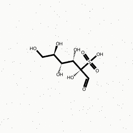 O=C[C@@](O)([C@@H](O)[C@H](O)[C@H](O)CO)S(=O)(=O)O